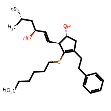 CCCC[C@@H](C)C[C@H](O)/C=C/[C@@H]1C(SCCCCCC(=O)O)=C(CCc2ccccc2)C[C@H]1O